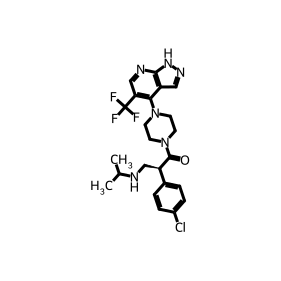 CC(C)NC[C@@H](C(=O)N1CCN(c2c(C(F)(F)F)cnc3[nH]ncc23)CC1)c1ccc(Cl)cc1